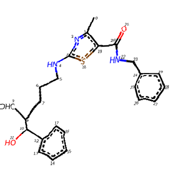 Cc1nc(NCCCC(C=O)C(O)c2ccccc2)sc1C(=O)NCc1ccccc1